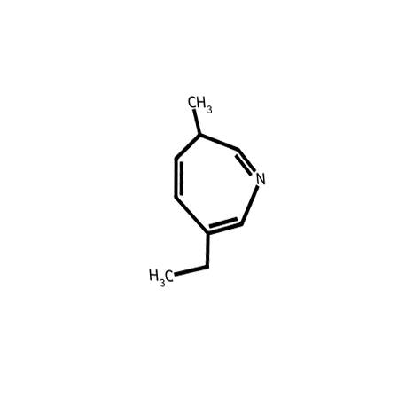 CCC1=CN=CC(C)C=C1